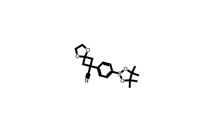 CC1(C)OB(c2ccc(C3(C#N)CC4(C3)OCCO4)cc2)OC1(C)C